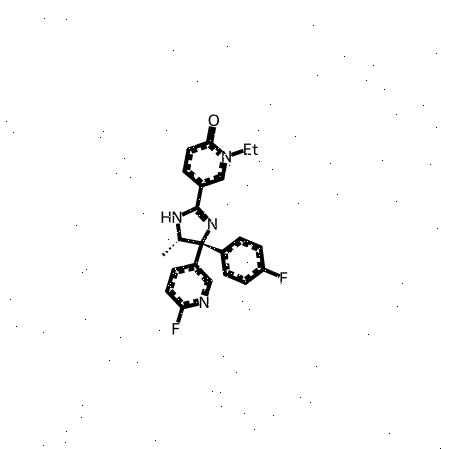 CCn1cc(C2=N[C@](c3ccc(F)cc3)(c3ccc(F)nc3)[C@H](C)N2)ccc1=O